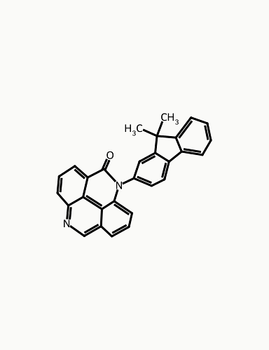 CC1(C)c2ccccc2-c2ccc(-n3c(=O)c4cccc5ncc6cccc3c6c54)cc21